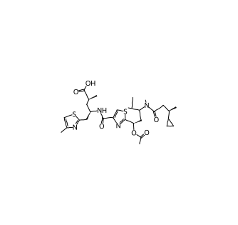 CC(=O)O[C@H](CC(C(C)C)N(C)C(=O)C[C@@H](C)C1CC1)c1nc(C(=O)N[C@@H](Cc2nc(C)cs2)C[C@H](C)C(=O)O)cs1